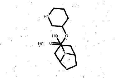 Cl.O=C(OC1CCCNC1)N1C2CCC1CC(O)C2